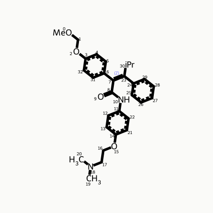 COCOc1ccc(/C(C(=O)Nc2ccc(OCCN(C)C)cc2)=C(/c2ccccc2)C(C)C)cc1